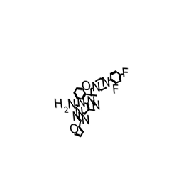 CC(C(=O)N1CCN(c2ccc(F)cc2F)CC1)(c1ccccc1)n1ncc2c1nc(N)n1nc(-c3ccco3)nc21